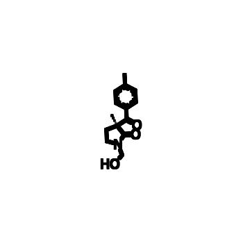 Cc1ccc(C(=O)[C@]2(C)CCN(CO)C2=O)cc1